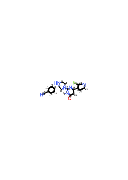 Cn1c(N2CCN[C@@H](c3ccc(C#N)cc3)C2)nc(-c2ccncc2F)cc1=O